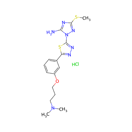 CSc1nc(N)n(-c2nnc(-c3cccc(OCCCN(C)C)c3)s2)n1.Cl